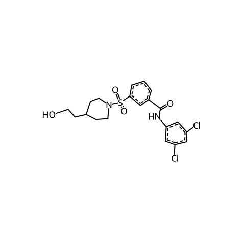 O=C(Nc1cc(Cl)cc(Cl)c1)c1cccc(S(=O)(=O)N2CCC(CCO)CC2)c1